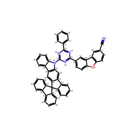 N#Cc1ccc2oc3ccc(-c4nc(-c5ccccc5)nc(-n5c6ccccc6c6cc7c(cc65)-c5ccccc5C75c6ccccc6-c6ccccc65)n4)cc3c2c1